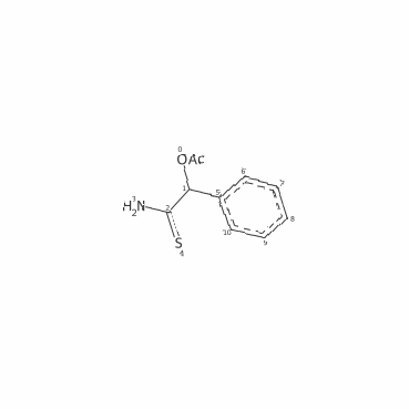 CC(=O)OC(C(N)=S)c1ccccc1